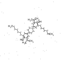 CCCCCCCc1cc(C2[CH]CC(c3cc(CCCCCCC)c(O)c(C(C)C)c3)CC2)cc(C(C)C)c1O